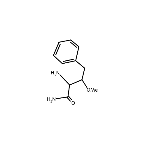 COC(Cc1ccccc1)C(N)C(N)=O